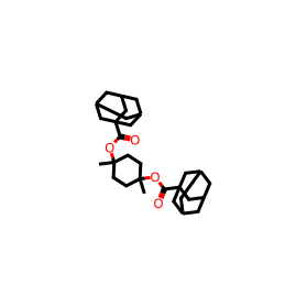 CC1(OC(=O)C23CC4CC(CC(C4)C2)C3)CCC(C)(OC(=O)C23CC4CC(CC(C4)C2)C3)CC1